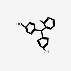 [CH2]c1ccccc1C(c1ccc(O)cc1)c1ccc(O)cc1